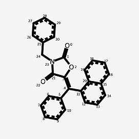 O=C1OC(=C(c2ccccc2)c2cccc3ccccc23)C(=O)N1Cc1ccccc1